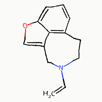 C=CN1CCc2cccc3occ(c23)C1